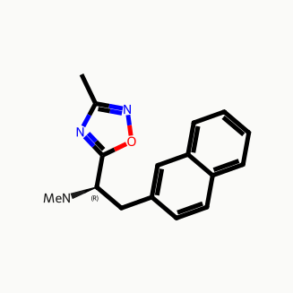 CN[C@H](Cc1ccc2ccccc2c1)c1nc(C)no1